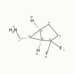 NC[C@@H]1[C@H]2CCC(F)(F)[C@@H]12